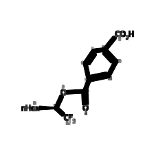 CCCCCC[C@@H](OC(=O)c1ccc(C(=O)O)cc1)C(F)(F)F